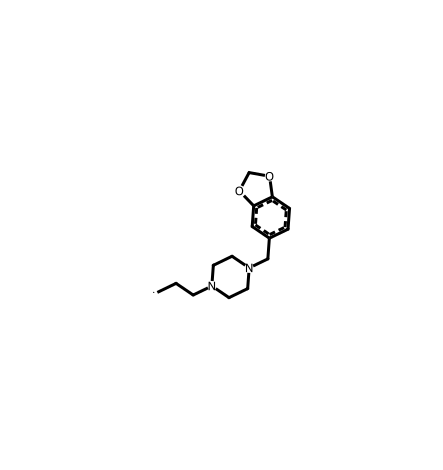 [CH2]CCN1CCN(Cc2ccc3c(c2)OCO3)CC1